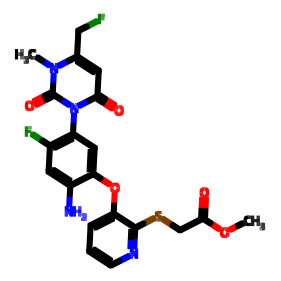 COC(=O)CSc1ncccc1Oc1cc(-n2c(=O)cc(CF)n(C)c2=O)c(F)cc1N